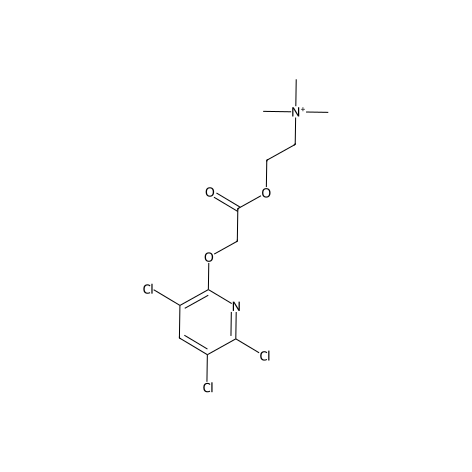 C[N+](C)(C)CCOC(=O)COc1nc(Cl)c(Cl)cc1Cl